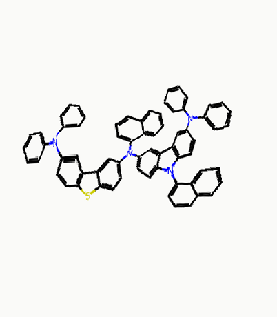 c1ccc(N(c2ccccc2)c2ccc3sc4ccc(N(c5ccc6c(c5)c5cc(N(c7ccccc7)c7ccccc7)ccc5n6-c5cccc6ccccc56)c5cccc6ccccc56)cc4c3c2)cc1